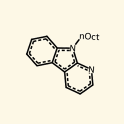 CCCCCCCCn1c2ccccc2c2cccnc21